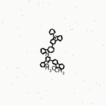 CC1(C)c2ccccc2-c2ccc(-c3cc(-n4c5c(c6ccccc64)CC(c4ccc6c(c4)c4ccccc4n6C4=CC=CCC=C4)=CC=C5)cc4c3sc3ccccc34)cc21